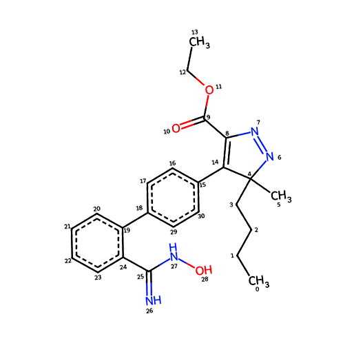 CCCCC1(C)N=NC(C(=O)OCC)=C1c1ccc(-c2ccccc2C(=N)NO)cc1